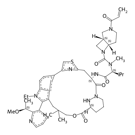 C=CC(=O)N1CC[C@H]2[C@@H](C1)CN2C(=O)N(C)[C@H](C(=O)N[C@H]1Cc2nc(cs2)-c2ccc3c(c2)c(c(-c2cccnc2[C@H](C)OC)n3CC)CC(C)(C)COC(=O)[C@@H]2CCCN(N2)C1=O)C(C)C